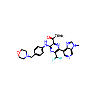 COC(=O)c1nc(-c2cncc3c2ncn3C)c(C(F)F)nc1Nc1ccc(CN2CCOCC2)cc1